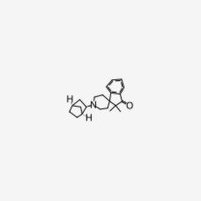 CC1(C)C(=O)c2ccccc2C12CCN([C@@H]1C[C@@H]3CC[C@H]1C3)CC2